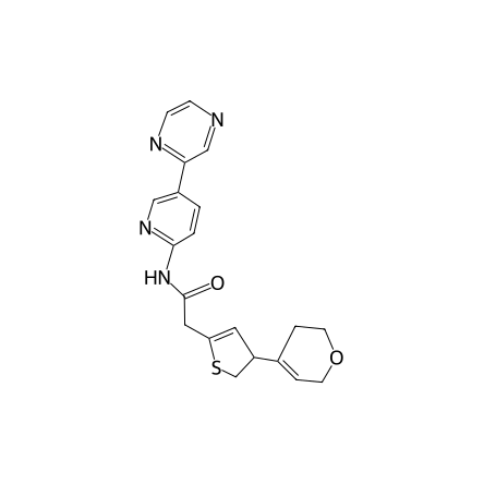 O=C(CC1=CC(C2=CCOCC2)CS1)Nc1ccc(-c2cnccn2)cn1